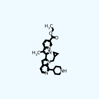 CCOC(=O)c1ccc2c(C)c(-c3cc4ccnc(C5CCNCC5)c4n3CC3CC3)nn2c1